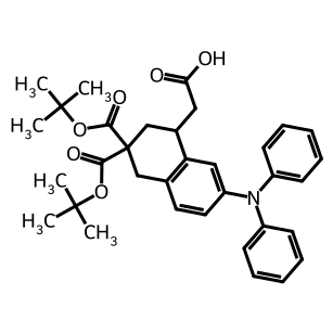 CC(C)(C)OC(=O)C1(C(=O)OC(C)(C)C)Cc2ccc(N(c3ccccc3)c3ccccc3)cc2C(CC(=O)O)C1